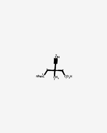 C#CC(C)(CCCCCC)CC(=O)O